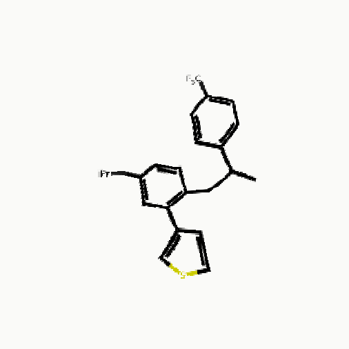 CC(C)c1ccc(CC(C)c2ccc(C(F)(F)F)cc2)c(-c2ccsc2)c1